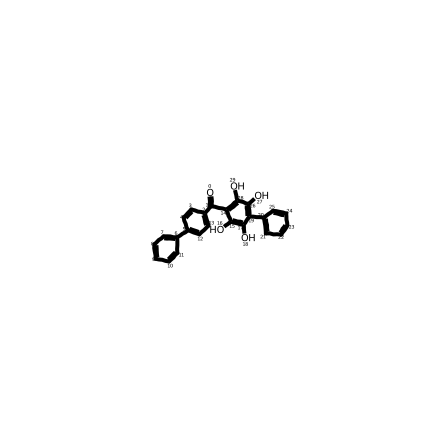 O=C(c1ccc(-c2ccccc2)cc1)c1c(O)c(O)c(-c2ccccc2)c(O)c1O